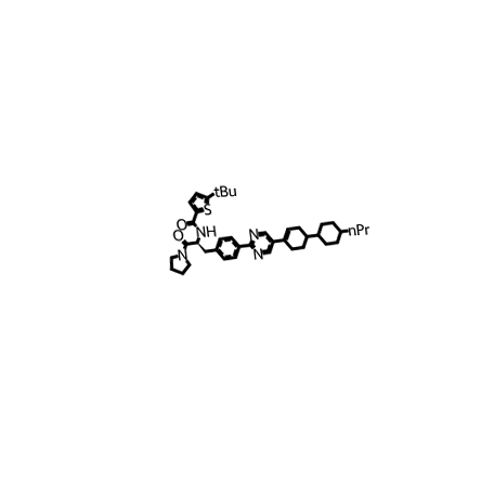 CCCC1CCC(C2CC=C(c3cnc(-c4ccc(C[C@H](NC(=O)c5ccc(C(C)(C)C)s5)C(=O)N5CCCC5)cc4)nc3)CC2)CC1